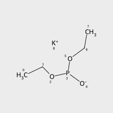 CCOP([O-])OCC.[K+]